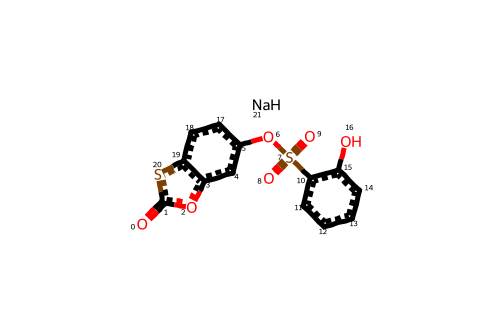 O=c1oc2cc(OS(=O)(=O)c3ccccc3O)ccc2s1.[NaH]